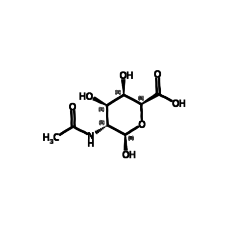 CC(=O)N[C@@H]1[C@@H](O)[C@@H](O)[C@@H](C(=O)O)O[C@H]1O